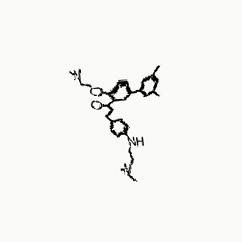 Cc1cc(C)cc(-c2ccc(OCCN(C)C)c(C(=O)C=Cc3ccc(NCCN(C)C)cc3)c2)c1